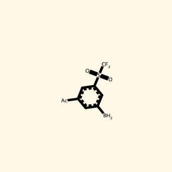 Bc1cc(C(C)=O)cc(S(=O)(=O)C(F)(F)F)c1